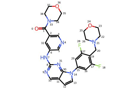 O=C(c1cncc(Nc2ncc3ccn(-c4cc(F)c(CN5CCOCC5)c(F)c4)c3n2)c1)N1CCOCC1